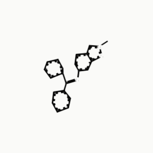 Cn1cc2ccc(N=C(c3ccccc3)c3ccccc3)cc2n1